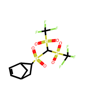 O=S(=O)(C1CC2C=CC1C2)C(S(=O)(=O)C(F)(F)F)S(=O)(=O)C(F)(F)F